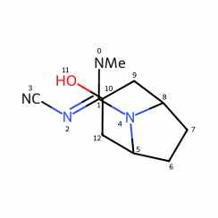 CNC(=NC#N)N1C2CCC1CC(O)C2